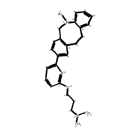 CC(=O)N1Cc2ccc(-c3cccc(OCCCN(C)C)n3)cc2CCc2ccccc21